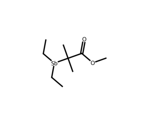 C[CH2][Sb]([CH2]C)[C](C)(C)C(=O)OC